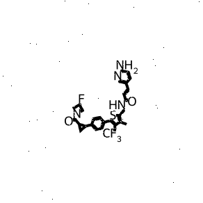 Cc1c(CNC(=O)/C=C/c2ccc(N)nc2)sc(-c2ccc(C3CC3C(=O)N3CC(F)C3)cc2C(F)(F)F)c1C